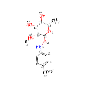 C[C@@H]1OC(ONc2ccc(C(=O)[O-])cc2)[C@H](O)[C@H](O)[C@H]1O.[K+]